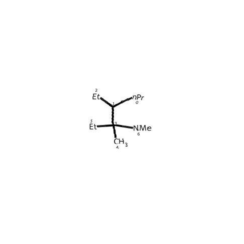 CCCC(CC)C(C)(CC)NC